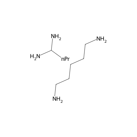 CCCC(N)N.NCCCCCN